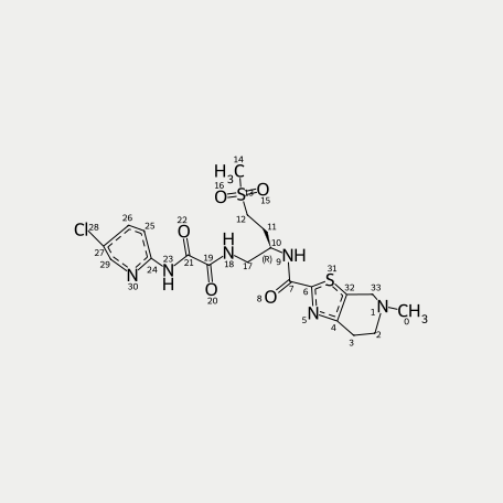 CN1CCc2nc(C(=O)N[C@H](CCS(C)(=O)=O)CNC(=O)C(=O)Nc3ccc(Cl)cn3)sc2C1